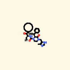 COC1(C(=O)[C@H](CC(C)C)NC(=O)N2CCN(Cc3[nH]cnc3C)C(=O)[C@@H]2Cc2ccccc2)CCCCCCCCCC1